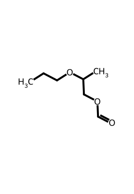 CCCOC(C)COC=O